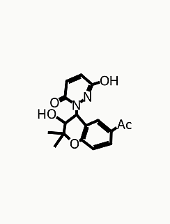 CC(=O)c1ccc2c(c1)C(n1nc(O)ccc1=O)C(O)C(C)(C)O2